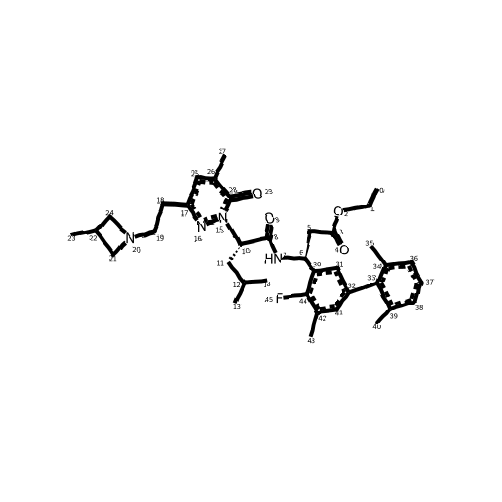 CCOC(=O)C[C@H](NC(=O)[C@H](CC(C)C)n1nc(CCN2CC(C)C2)cc(C)c1=O)c1cc(-c2c(C)cccc2C)cc(C)c1F